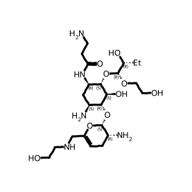 CC[C@@H](O)[C@H](OCCO)O[C@@H]1[C@@H](O)[C@H](O[C@H]2OC(CNCCO)=CC[C@H]2N)[C@@H](N)C[C@H]1NC(=O)CCN